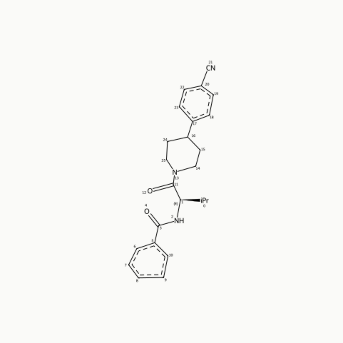 CC(C)[C@@H](NC(=O)c1ccccc1)C(=O)N1CCC(c2ccc(C#N)cc2)CC1